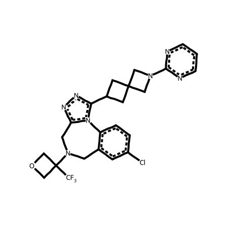 FC(F)(F)C1(N2Cc3cc(Cl)ccc3-n3c(nnc3C3CC4(C3)CN(c3ncccn3)C4)C2)COC1